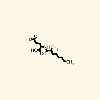 CCCCC/C=C(\C)C(=O)NC(CCC(=O)O)C(=O)O